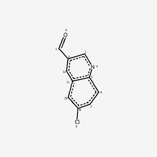 O=Cc1cnc2ccc(Cl)cc2c1